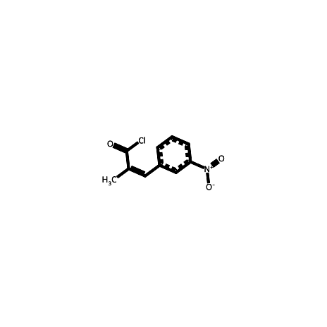 CC(=Cc1cccc([N+](=O)[O-])c1)C(=O)Cl